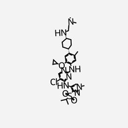 Cc1cc(Nc2ncc(Cl)c(Nc3cn(C)nc3S(=O)(=O)C(C)C)n2)c(OC2CC2)cc1[C@H]1CC[C@@H](NCCN(C)C)CC1